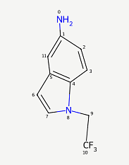 Nc1ccc2c(ccn2CC(F)(F)F)c1